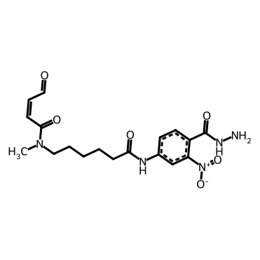 CN(CCCCCC(=O)Nc1ccc(C(=O)NN)c([N+](=O)[O-])c1)C(=O)/C=C\C=O